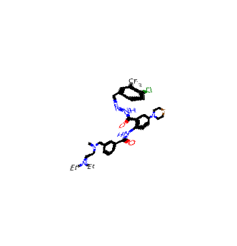 CCN(CC)CCN(C)Cc1cccc(C(=O)Nc2ccc(N3CCSCC3)cc2C(=O)N/N=C\c2ccc(Cl)c(C(F)(F)F)c2)c1